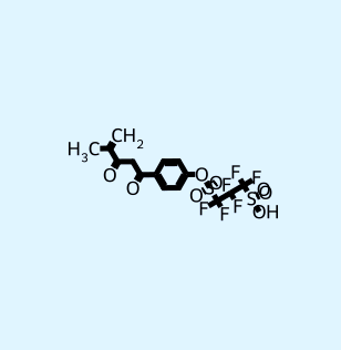 C=C(C)C(=O)CC(=O)c1ccc(OS(=O)(=O)C(F)(F)C(F)(F)C(F)(F)S(=O)(=O)O)cc1